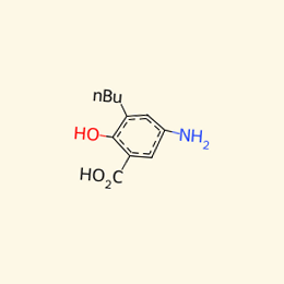 CCCCc1cc(N)cc(C(=O)O)c1O